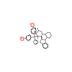 COc1ccc(C(C2=CC=CC2)(c2ccc(OC)cc2)C2(C)C3=C4Cc5ccccc5C4C4CCCCC4C3CC(C)C2(C)C)cc1